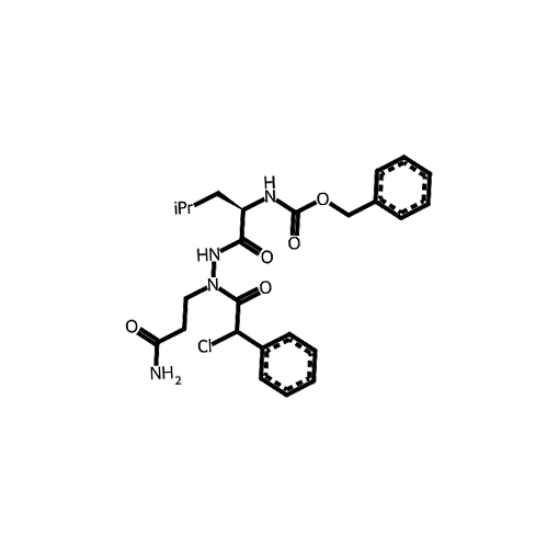 CC(C)C[C@@H](NC(=O)OCc1ccccc1)C(=O)NN(CCC(N)=O)C(=O)C(Cl)c1ccccc1